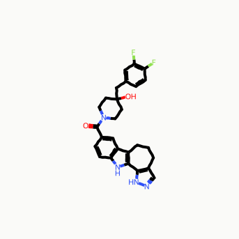 O=C(c1ccc2[nH]c3c(c2c1)CCCc1cn[nH]c1-3)N1CCC(O)(Cc2ccc(F)c(F)c2)CC1